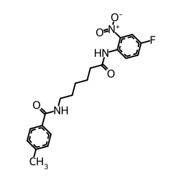 Cc1ccc(C(=O)NCCCCCC(=O)Nc2ccc(F)cc2[N+](=O)[O-])cc1